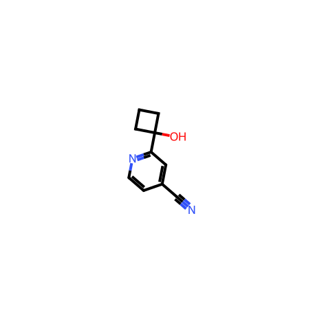 N#Cc1ccnc(C2(O)CCC2)c1